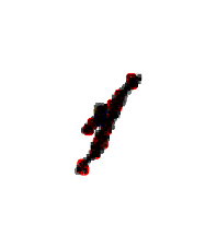 C=CC(=O)OCCCCCCOc1ccc(OC(=O)C2CCC(COc3ccc(OCC4CCC(C(=O)Oc5ccc(OCCCCCCOC(=O)C=C)cc5)CC4)c(CN(C)N(CCOCCOC)c4nc5ccccc5s4)c3)CC2)cc1